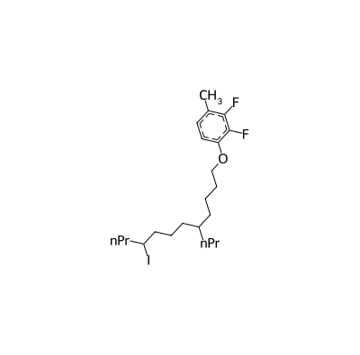 CCCC(I)CCCC(CCC)CCCCOc1ccc(C)c(F)c1F